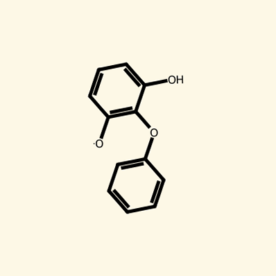 [O]c1cccc(O)c1Oc1ccccc1